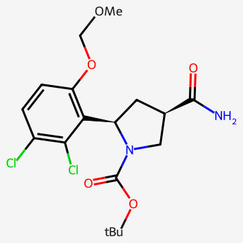 COCOc1ccc(Cl)c(Cl)c1[C@H]1C[C@@H](C(N)=O)CN1C(=O)OC(C)(C)C